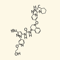 CC1CCCCN1c1nnc2ccc(O[C@@H]3CC[C@H](NC(=O)Nc4cc(C(C)(C)C)nn4-c4ccnc(OCCO)c4)c4ccccc43)cn12